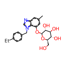 CCc1ccc(Cn2cnc3cc(C)cc(O[C@@H]4O[C@H](CO)[C@@H](O)[C@H](O)[C@H]4O)c32)cc1